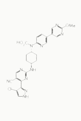 COc1ncc(-c2ccc(N(C(=O)O)[C@H]3CC[C@H](Nc4ncc(C#N)c(-c5n[nH]cc5Cl)n4)CC3)nc2)cn1